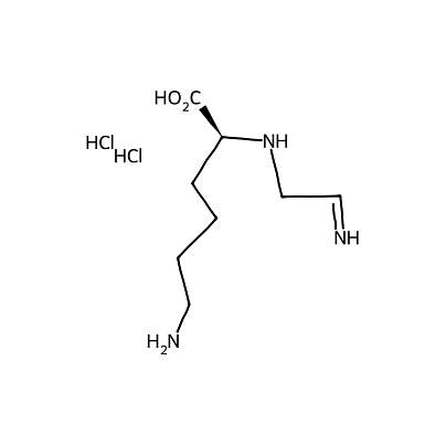 Cl.Cl.N=CCN[C@@H](CCCCN)C(=O)O